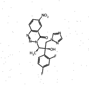 C[C@@H](n1nnc2ccc([N+](=O)[O-])cc2c1=O)[C@](O)(Cn1cncn1)c1ccc(F)cc1F